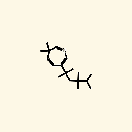 CC(C)C(C)(C)CC(C)(C)C1=CN=CC(C)(C)C=C1